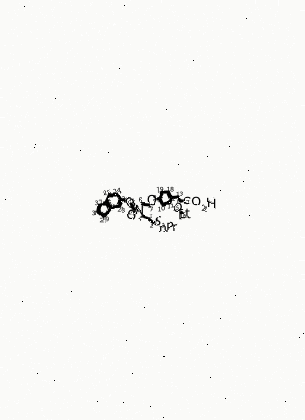 CCCSCCCN(CCOc1ccc(CC(OCC)C(=O)O)cc1)C(=O)Oc1ccc2c(c1)CCC2